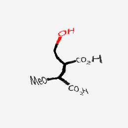 COC(C(=O)O)C(CO)C(=O)O